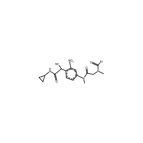 CCC(=O)N(C)CC(=O)N(C)c1ccc(C(C#N)C(=O)NC2CC2)c([N+](=O)[O-])c1